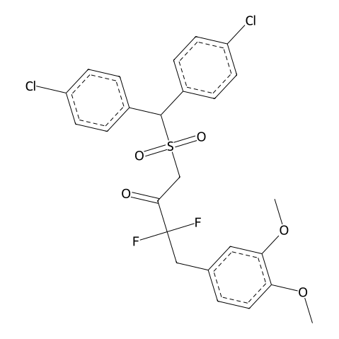 COc1ccc(CC(F)(F)C(=O)CS(=O)(=O)C(c2ccc(Cl)cc2)c2ccc(Cl)cc2)cc1OC